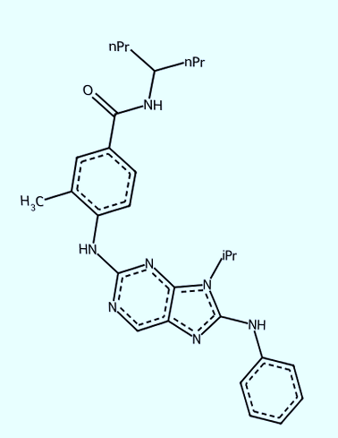 CCCC(CCC)NC(=O)c1ccc(Nc2ncc3nc(Nc4ccccc4)n(C(C)C)c3n2)c(C)c1